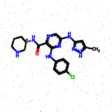 Cc1cc(Nc2cnc(C(=O)N[C@H]3CCCNC3)c(Nc3ccc(Cl)cc3)n2)n[nH]1